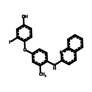 Cc1cc(Oc2ccc(O)cc2F)ccc1Nc1ccc2ccccc2n1